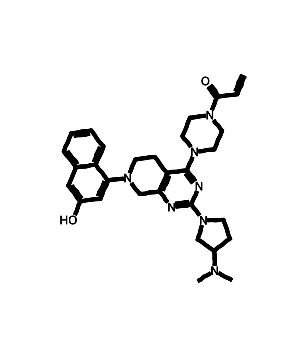 C=CC(=O)N1CCN(c2nc(N3CCC(N(C)C)C3)nc3c2CCN(c2cc(O)cc4ccccc24)C3)CC1